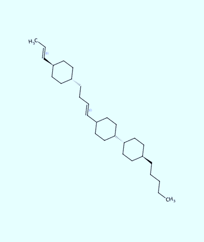 C/C=C/[C@H]1CC[C@H](CC/C=C/C2CCC([C@H]3CC[C@H](CCCCC)CC3)CC2)CC1